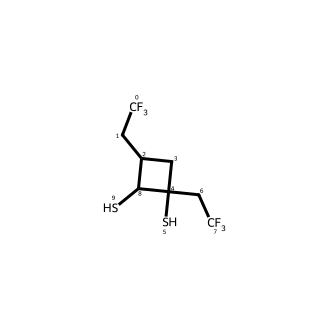 FC(F)(F)CC1CC(S)(CC(F)(F)F)C1S